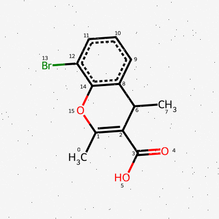 CC1=C(C(=O)O)C(C)c2cccc(Br)c2O1